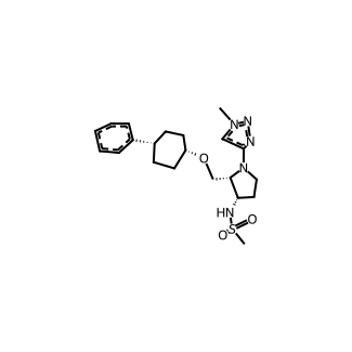 Cn1cc(N2CC[C@H](NS(C)(=O)=O)[C@@H]2CO[C@H]2CC[C@@H](c3ccccc3)CC2)nn1